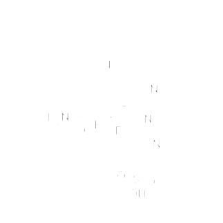 NC(=O)c1ccc(F)cc1C(F)(F)F.O=S(=O)(O)c1ccc(N2CCN(c3ccc(F)cc3)CC2)nc1